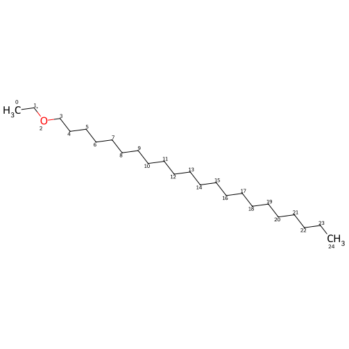 C[CH]OCCCCCCCCCCCCCCCCCCCCCC